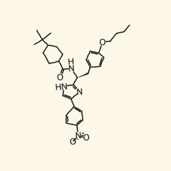 CCCCOc1ccc(C[C@H](NC(=O)C2CCC(C(C)(C)C)CC2)c2nc(-c3ccc([N+](=O)[O-])cc3)c[nH]2)cc1